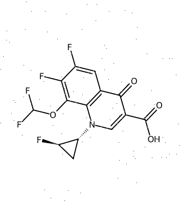 O=C(O)c1cn([C@@H]2C[C@H]2F)c2c(OC(F)F)c(F)c(F)cc2c1=O